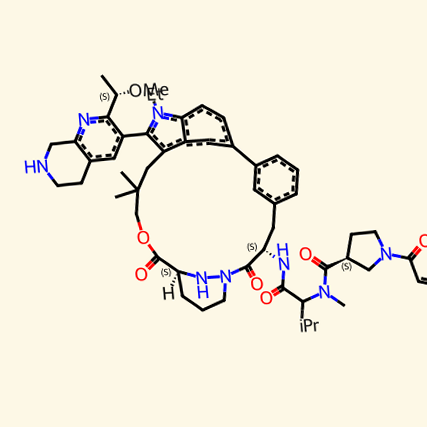 C=CC(=O)N1CC[C@H](C(=O)N(C)C(C(=O)N[C@H]2Cc3cccc(c3)-c3ccc4c(c3)c(c(-c3cc5c(nc3[C@H](C)OC)CNCC5)n4CC)CC(C)(C)COC(=O)[C@@H]3CCCN(N3)C2=O)C(C)C)C1